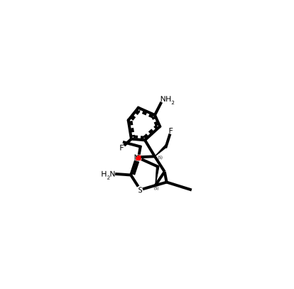 CCOC[C@@]12SC(N)=N[C@](CF)(c3cc(N)ccc3F)C1C2C